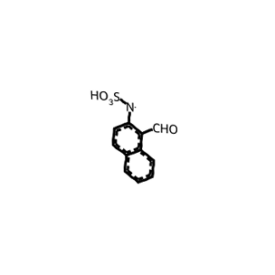 O=Cc1c([N]S(=O)(=O)O)ccc2ccccc12